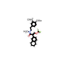 COc1ccc(CCN(C)C(=O)C(=COC(F)F)c2ccc3c(c2)CCCC3)cc1OC